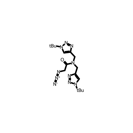 CC(C)(C)n1cc(CN(Cc2cn(C(C)(C)C)nn2)C(=O)CN=[N+]=[N-])nn1